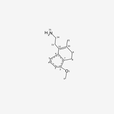 COc1cccc2c1CCC(C)=C2CCN